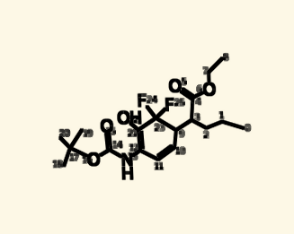 CCCC(C(=O)OCC)C1C=CC(NC(=O)OC(C)(C)C)=C(O)C1(F)F